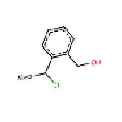 COC(Cl)c1ccccc1CO